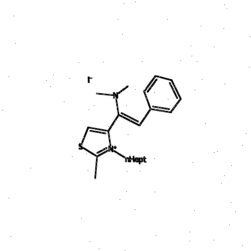 CCCCCCC[n+]1c(C(=Cc2ccccc2)N(C)C)csc1C.[I-]